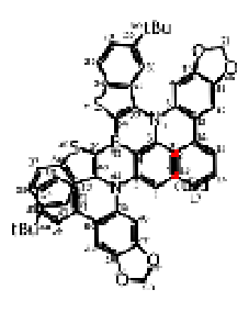 CC(C)(C)c1cc2c3c(c1)N(c1cc4c(cc1-c1ccccc1)OCO4)c1c(sc4ccc(C(C)(C)C)cc14)B3c1sc3ccc(C(C)(C)C)cc3c1N2c1cc2c(cc1-c1ccccc1)OCO2